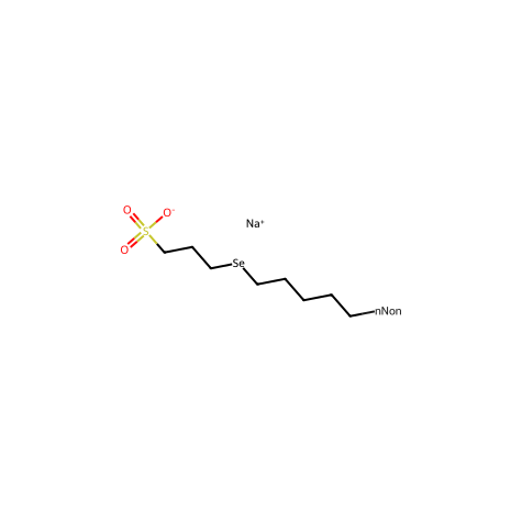 CCCCCCCCCCCCCC[Se]CCCS(=O)(=O)[O-].[Na+]